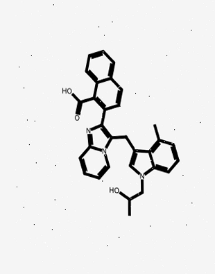 Cc1cccc2c1c(Cc1c(-c3ccc4ccccc4c3C(=O)O)nc3ccccn13)cn2CC(C)O